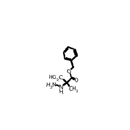 CC(NN)(C(=O)O)C(=O)OCc1ccccc1